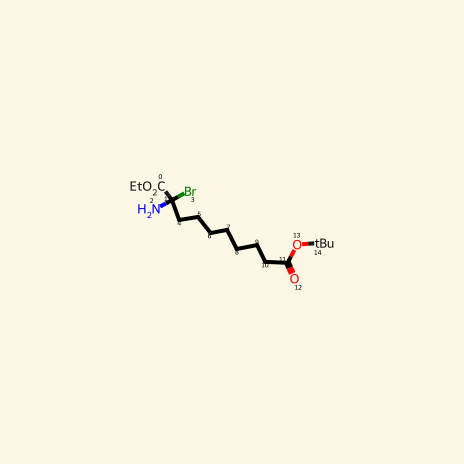 CCOC(=O)C(N)(Br)CCCCCCCC(=O)OC(C)(C)C